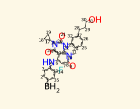 Bc1ccc(Nc2cc(=O)n(C)c3c2c(=O)n(C2CC2)c(=O)n3-c2cccc(CCCO)c2)c(F)c1